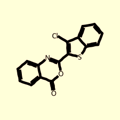 O=c1oc(-c2sc3ccccc3c2Cl)nc2ccccc12